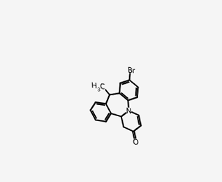 CC1c2ccccc2C2CC(=O)C=CN2c2ccc(Br)cc21